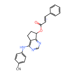 N#Cc1ccc(Nc2ncnc3c2CCC3OC(=O)/C=C/c2ccccc2)cc1